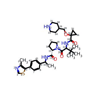 Cc1ncsc1-c1ccc(C(C)NC(=O)[C@@H]2CCCN2C(=O)C(NC(=O)C2(OCC3CCNCC3)CC2)C(C)(C)C)cc1